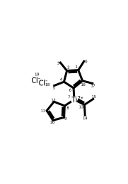 CC1=C(C)C(C)[C]([Ti+2]([C]2=CC=CC2)=[C](C)C)=C1C.[Cl-].[Cl-]